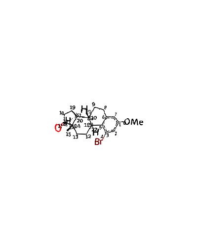 COc1cc(Br)c2c(c1)CC[C@@H]1[C@@H]2CC[C@]2(C)C(=O)CC[C@@H]12